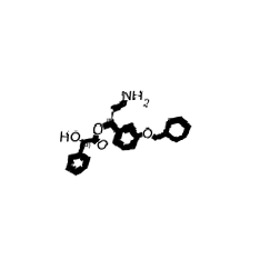 NCC[C@@H](OC(=O)[C@H](O)c1ccccc1)c1cccc(OCC2CCCCC2)c1